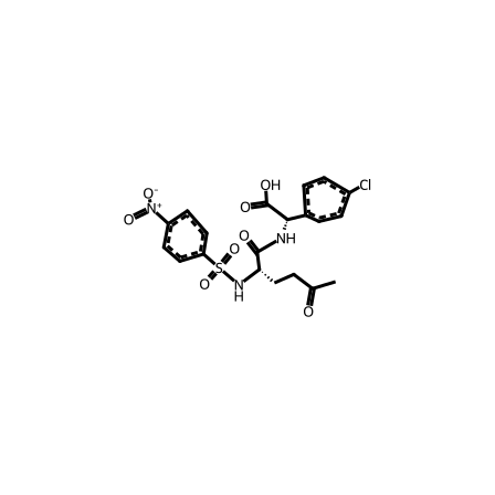 CC(=O)CC[C@H](NS(=O)(=O)c1ccc([N+](=O)[O-])cc1)C(=O)N[C@H](C(=O)O)c1ccc(Cl)cc1